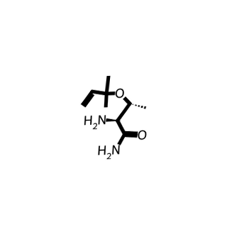 C=CC(C)(C)O[C@H](C)[C@H](N)C(N)=O